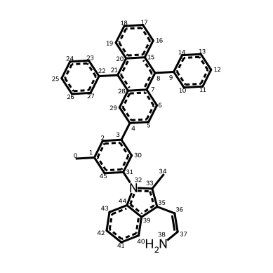 Cc1cc(-c2ccc3c(-c4ccccc4)c4ccccc4c(-c4ccccc4)c3c2)cc(-n2c(C)c(/C=C\N)c3ccccc32)c1